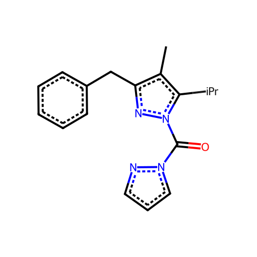 Cc1c(Cc2ccccc2)nn(C(=O)n2cccn2)c1C(C)C